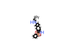 CC(C)CCNc1ccc2c(c1)CC1CCC(C2)C1NS(=O)(=O)c1ccccc1